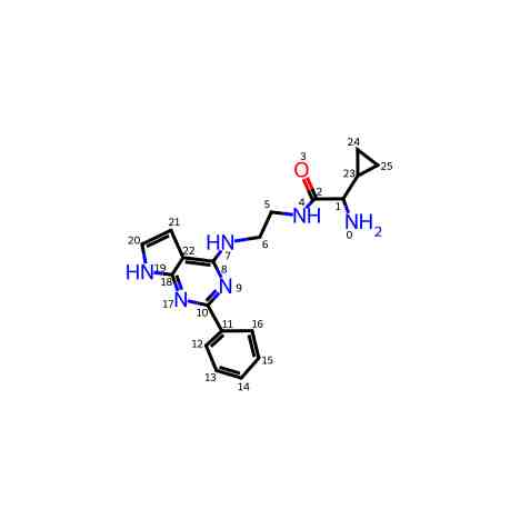 NC(C(=O)NCCNc1nc(-c2ccccc2)nc2[nH]ccc12)C1CC1